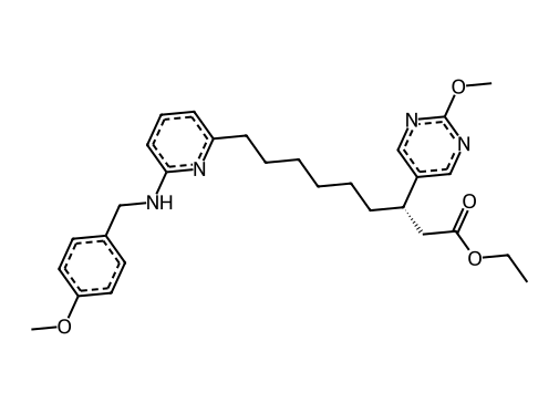 CCOC(=O)C[C@H](CCCCCCc1cccc(NCc2ccc(OC)cc2)n1)c1cnc(OC)nc1